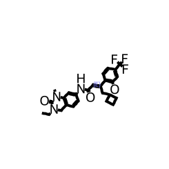 CCN1Cc2ccc(NC(=O)/C=C3\CC4(CCC4)Oc4cc(C(F)(F)F)ccc43)cc2N(C)C1=O